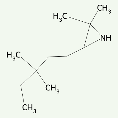 CCC(C)(C)CCC1NC1(C)C